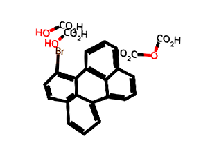 Brc1ccc2cccc3c4cccc5cccc(c1c23)c54.O=C(O)O.O=C(O)O.O=C(O)OC(=O)O